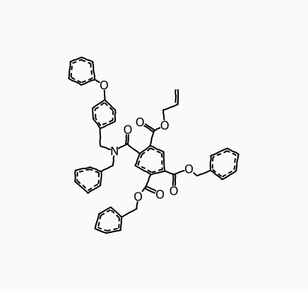 C=CCOC(=O)c1cc(C(=O)OCc2ccccc2)c(C(=O)OCc2ccccc2)cc1C(=O)N(Cc1ccccc1)Cc1ccc(Oc2ccccc2)cc1